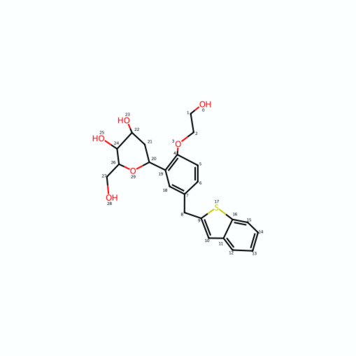 OCCOc1ccc(Cc2cc3ccccc3s2)cc1C1CC(O)C(O)C(CO)O1